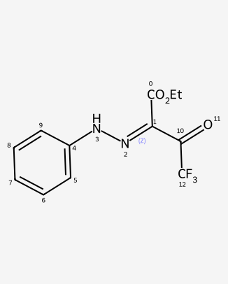 CCOC(=O)/C(=N\Nc1ccccc1)C(=O)C(F)(F)F